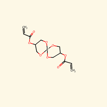 C=CC(=O)OC1CO[B-]2(OC1)OCC(OC(=O)C=C)CO2